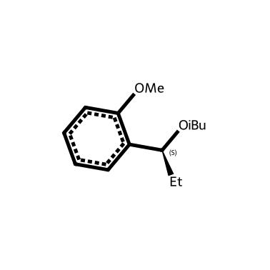 CC[C@H](OCC(C)C)c1ccccc1OC